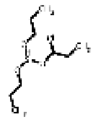 CCCO[SiH](OCCC)OC(Cl)CC